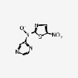 O=[N+]([O-])c1cnc([S+]([O-])c2cnccn2)s1